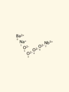 [Ba+2].[Na+].[Nb+5].[O-2].[O-2].[O-2].[O-2]